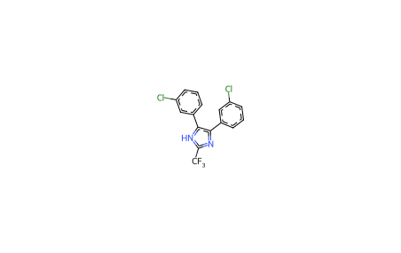 FC(F)(F)c1nc(-c2cccc(Cl)c2)c(-c2cccc(Cl)c2)[nH]1